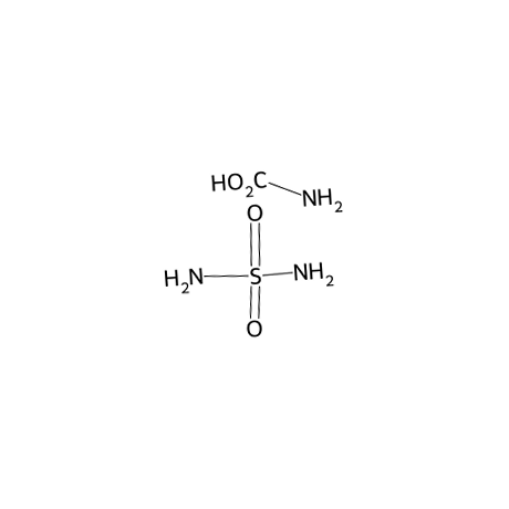 NC(=O)O.NS(N)(=O)=O